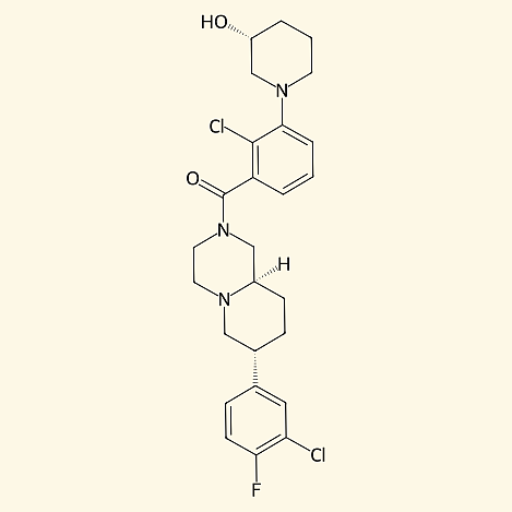 O=C(c1cccc(N2CCC[C@@H](O)C2)c1Cl)N1CCN2C[C@@H](c3ccc(F)c(Cl)c3)CC[C@@H]2C1